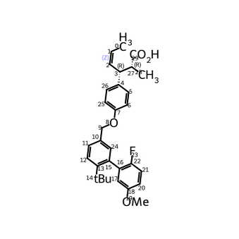 C/C=C\[C@@H](c1ccc(OCc2ccc(C(C)(C)C)c(-c3cc(OC)ccc3F)c2)cc1)[C@@H](C)C(=O)O